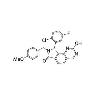 COc1ccc(CN2C(=O)c3ccc4cnc(O)nc4c3C2c2cc(F)ccc2Cl)cc1